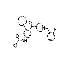 O=C(Nc1ccc(C(=O)N2CCN(Cc3ccccc3F)CC2)c(N2CCCCCC2)c1)C1CC1